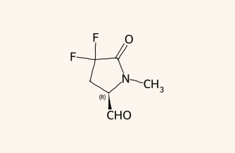 CN1C(=O)C(F)(F)C[C@@H]1C=O